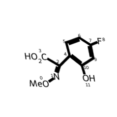 CON=C(C(=O)O)c1ccc(F)cc1O